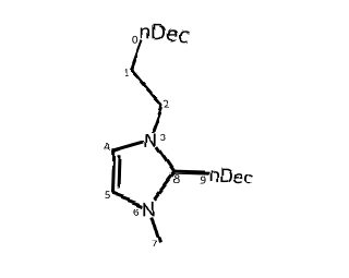 CCCCCCCCCCCCN1C=CN(C)C1CCCCCCCCCC